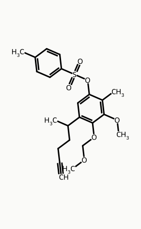 C#CCCC(C)c1cc(OS(=O)(=O)c2ccc(C)cc2)c(C)c(OC)c1OCOC